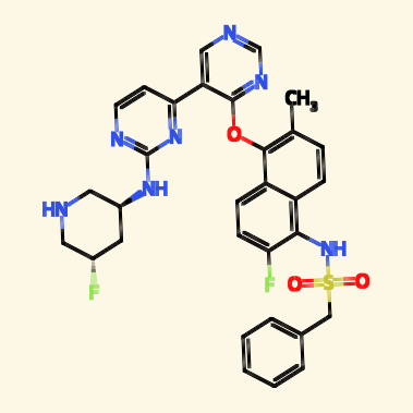 Cc1ccc2c(NS(=O)(=O)Cc3ccccc3)c(F)ccc2c1Oc1ncncc1-c1ccnc(N[C@@H]2CNC[C@@H](F)C2)n1